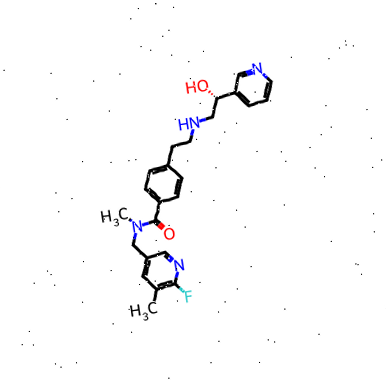 Cc1cc(CN(C)C(=O)c2ccc(CCNC[C@H](O)c3cccnc3)cc2)cnc1F